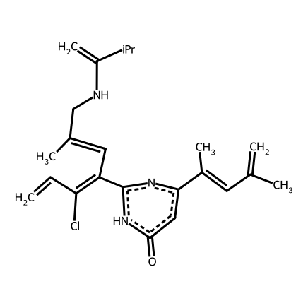 C=C/C(Cl)=C(\C=C(/C)CNC(=C)C(C)C)c1nc(/C(C)=C/C(=C)C)cc(=O)[nH]1